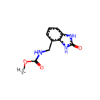 COC(=O)NCc1cccc2[nH]c(=O)[nH]c12